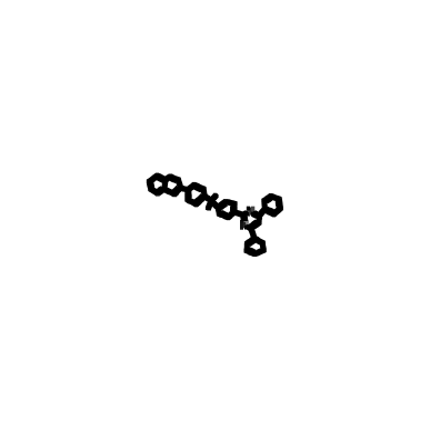 CC(C)(c1ccc(-c2ccc3ccccc3c2)cc1)c1ccc(-c2nc(C3=CC=CCC3)cc(-c3ccccc3)n2)cc1